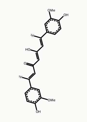 [2H]/C(=C\C(=O)/C=C(O)/C=C(\[2H])c1ccc(O)c(OC)c1)c1ccc(O)c(OC)c1